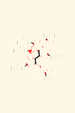 CCCC(=O)OC[C@@H](OC(=O)CCC)[C@@H](OC(=O)CCC)[C@H](OC(=O)CCC)[C@@H](COC(=O)CCC)OC(=O)CCC